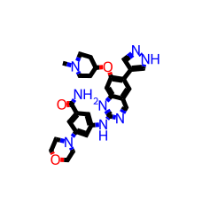 CN1CCC(Oc2cc3nc(Nc4cc(C(N)=O)cc(N5CCOCC5)c4)ncc3cc2-c2cn[nH]c2)CC1